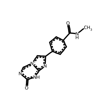 CNC(=O)c1ccc(-c2cn3cnc(=O)[nH]c3n2)cc1